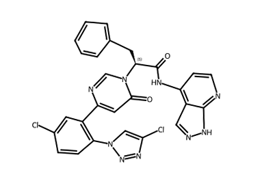 O=C(Nc1ccnc2[nH]ncc12)[C@H](Cc1ccccc1)n1cnc(-c2cc(Cl)ccc2-n2cc(Cl)nn2)cc1=O